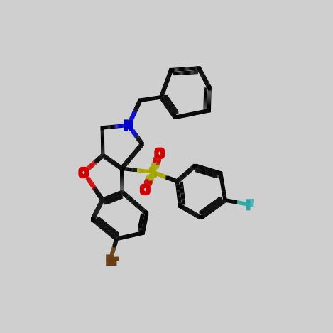 O=S(=O)(c1ccc(F)cc1)C12CN(Cc3ccccc3)CC1Oc1cc(Br)ccc12